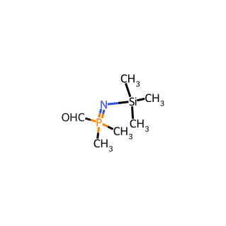 C[Si](C)(C)N=P(C)(C)C=O